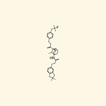 C=C(CCc1ccc2c(c1)CC(C)(C)C2)NC12CCC(CC1C)N(C(=C)CCc1ccc(CC(C)(C)F)cc1)C2